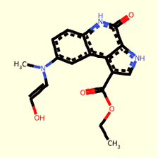 CCOC(=O)c1c[nH]c2c(=O)[nH]c3ccc(N(C)/C=C/O)cc3c12